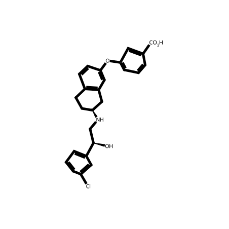 O=C(O)c1cccc(Oc2ccc3c(c2)C[C@@H](NC[C@@H](O)c2cccc(Cl)c2)CC3)c1